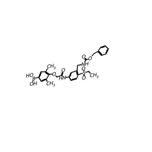 CCS(=O)(=O)c1ccc(NC(=O)COc2c(C)cc(B(O)O)cc2C)cc1CNC(=O)OCc1ccccc1